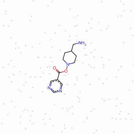 NCC1CCN(OC(=O)c2cncnc2)CC1